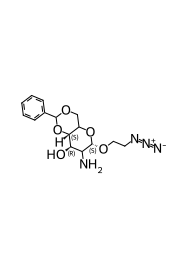 [N-]=[N+]=NCCO[C@H]1OC2COC(c3ccccc3)O[C@H]2[C@H](O)C1N